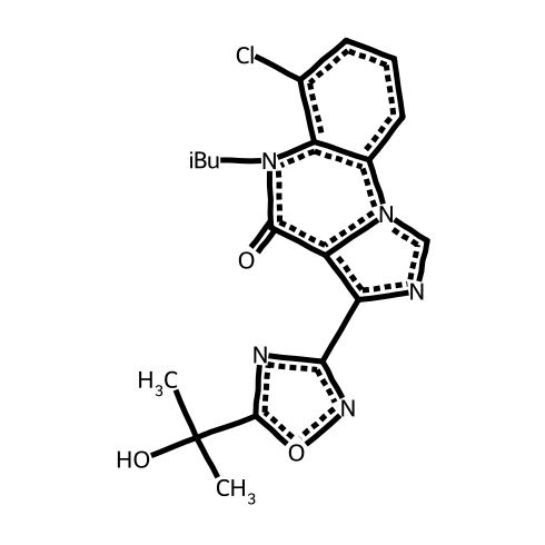 CCC(C)n1c(=O)c2c(-c3noc(C(C)(C)O)n3)ncn2c2cccc(Cl)c21